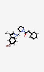 CC(=O)c1cn(C[C@@H]2CCCN2C(=O)CC2CCCCC2)c2ccc(Br)cc12